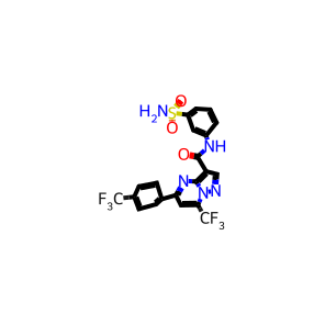 NS(=O)(=O)c1cccc(NC(=O)c2cnn3c(C(F)(F)F)cc(-c4ccc(C(F)(F)F)cc4)nc23)c1